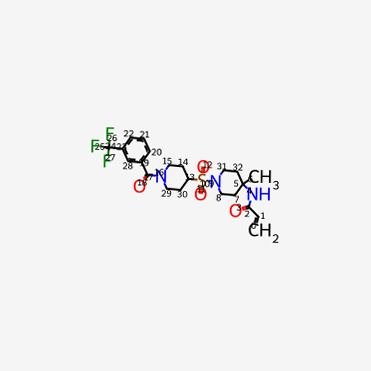 C=CC(=O)NC1(C)CCN(S(=O)(=O)C2CCN(C(=O)c3cccc(C(F)(F)F)c3)CC2)CC1